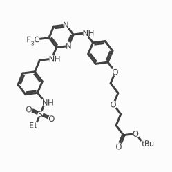 CCS(=O)(=O)Nc1cccc(CNc2nc(Nc3ccc(OCCOCCC(=O)OC(C)(C)C)cc3)ncc2C(F)(F)F)c1